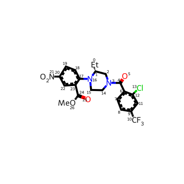 CC[C@@H]1CN(C(=O)c2ccc(C(F)(F)F)cc2Cl)CCN1c1ccc([N+](=O)[O-])cc1C(=O)OC